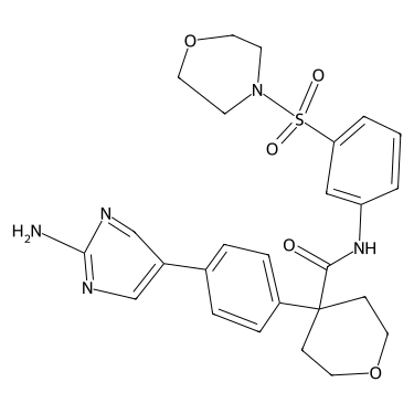 Nc1ncc(-c2ccc(C3(C(=O)Nc4cccc(S(=O)(=O)N5CCOCC5)c4)CCOCC3)cc2)cn1